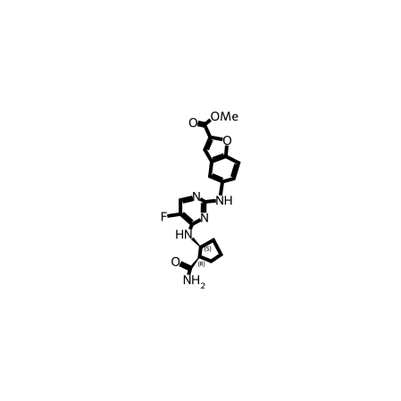 COC(=O)c1cc2cc(Nc3ncc(F)c(N[C@H]4CCC[C@H]4C(N)=O)n3)ccc2o1